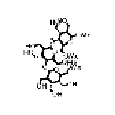 COCC1O[C@@H](O[C@@H]2C(COC)O[C@@H](O[C@@H]3C(COC)OC(OC)C(CO)[C@H]3CO)C(CO)[C@H]2CO)C(CO)[C@@H](CO)[C@@H]1CO